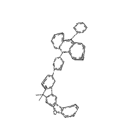 CC1(C)c2ccc(-c3ccc(-c4c5ccccc5c(-c5ccccc5)c5ccccc45)cc3)cc2-c2cc3c(cc21)oc1ccccc13